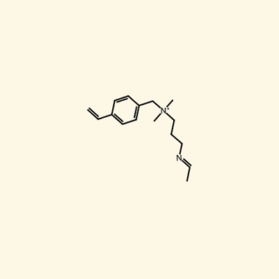 C=Cc1ccc(C[N+](C)(C)CCCN=CC)cc1